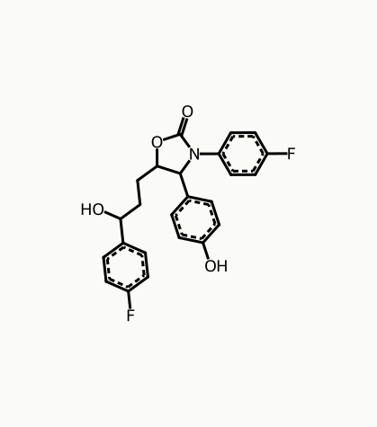 O=C1OC(CCC(O)c2ccc(F)cc2)C(c2ccc(O)cc2)N1c1ccc(F)cc1